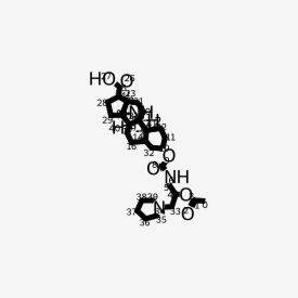 CC(=O)OC(CNC(=O)OC1CC[C@@]2(C)C(CC[C@@H]3[C@H]2CC[C@]2(C)C(C(=O)O)CC[C@@]32N)C1)CN1CCCCC1